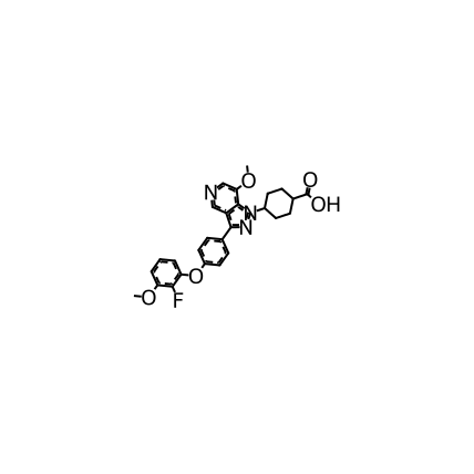 COc1cccc(Oc2ccc(-c3nn(C4CCC(C(=O)O)CC4)c4c(OC)cncc34)cc2)c1F